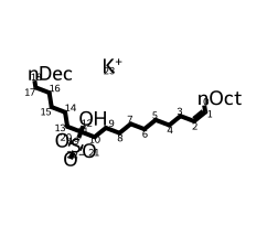 CCCCCCCC/C=C\CCCCCCCCC(O)(CCCCCCCCCCCCCCC)S(=O)(=O)[O-].[K+]